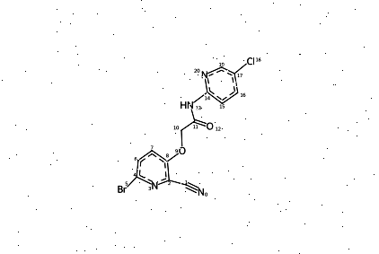 N#Cc1nc(Br)ccc1OCC(=O)Nc1ccc(Cl)cn1